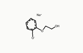 [Na+].[O-]c1ccccc1OCCO